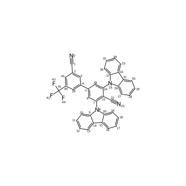 N#Cc1cc(-c2cc(-n3c4ccccc4c4ccccc43)c(C#N)c(-n3c4ccccc4c4ccccc43)c2)cc(C(F)(F)F)c1